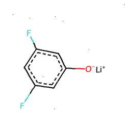 [Li+].[O-]c1cc(F)cc(F)c1